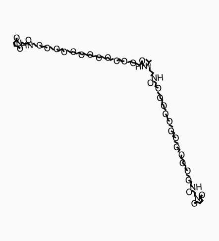 CC(C)[C@H](CCCCNC(=O)CCOCCOCCOCCOCCOCCOCCOCCOCCOCCOCCOCCOCCNC(=O)CCN1C(=O)C=CC1=O)NC(=O)CCOCCOCCOCCOCCOCCOCCOCCOCCOCCOCCOCCOCCNC(=O)CCN1C(=O)C=CC1=O